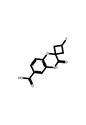 O=C(O)c1ccc2c(c1)NC(=O)C1(CC(F)C1)O2